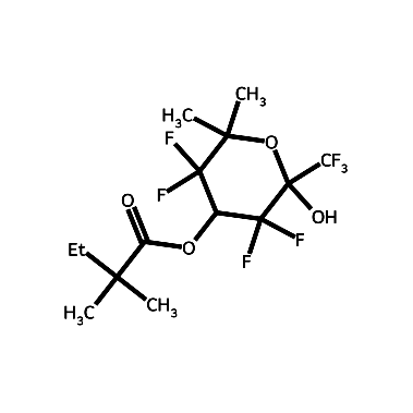 CCC(C)(C)C(=O)OC1C(F)(F)C(C)(C)OC(O)(C(F)(F)F)C1(F)F